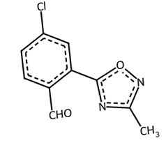 Cc1noc(-c2cc(Cl)ccc2C=O)n1